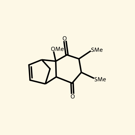 COC12C(=O)C(SC)C(SC)C(=O)C1C1C=CC2C1